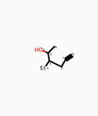 [C]#CCC(CC)C(C)O